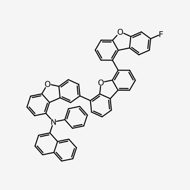 Fc1ccc2c(c1)oc1cccc(-c3cccc4c3oc3c(-c5ccc6oc7cccc(N(c8ccccc8)c8cccc9ccccc89)c7c6c5)cccc34)c12